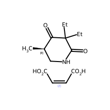 CCC1(CC)C(=O)NC[C@@H](C)C1=O.O=C(O)/C=C\C(=O)O